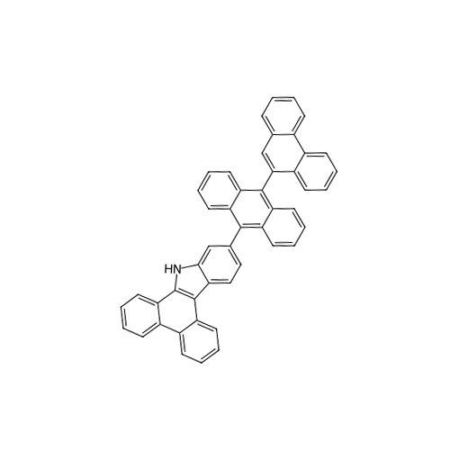 c1ccc2c(c1)cc(-c1c3ccccc3c(-c3ccc4c(c3)[nH]c3c5ccccc5c5ccccc5c43)c3ccccc13)c1ccccc12